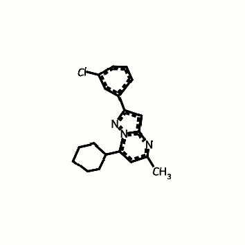 Cc1cc(C2CCCCC2)n2nc(-c3cccc(Cl)c3)cc2n1